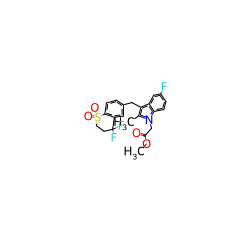 COC(=O)Cn1c(C)c(Cc2ccc3c(c2)C(F)(F)CCS3(=O)=O)c2cc(F)ccc21